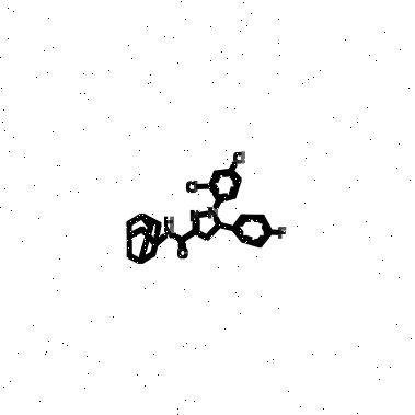 O=C(NC12CC3CC(CC(C3)C1)C2)C1=NN(c2ccc(Cl)cc2Cl)C(c2ccc(F)cc2)C1